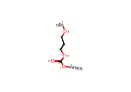 CCCCCCOC(=O)OCCCOCCCC